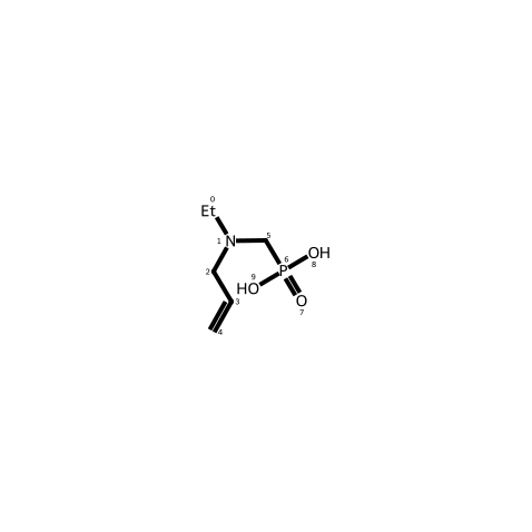 [CH2]CN(CC=C)CP(=O)(O)O